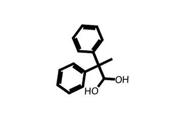 CC(c1ccccc1)(c1ccccc1)C(O)O